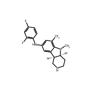 CN1c2c(cc(Nc3ccc(F)cc3F)cc2C(F)(F)F)[C@@H]2CNCC[C@@H]21